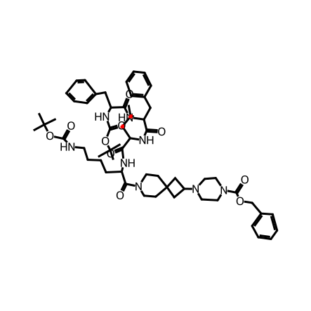 CC(C)CC(NC(=O)C(Cc1ccccc1)NC(=O)C(Cc1ccccc1)NC(=O)OC(C)(C)C)C(=O)NC(CCCCNC(=O)OC(C)(C)C)C(=O)N1CCC2(CC1)CC(N1CCN(C(=O)OCc3ccccc3)CC1)C2